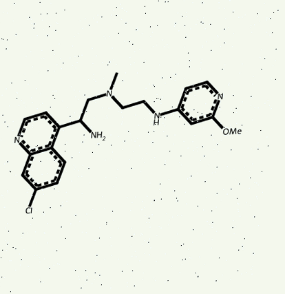 COc1cc(NCCN(C)CC(N)c2ccnc3cc(Cl)ccc23)ccn1